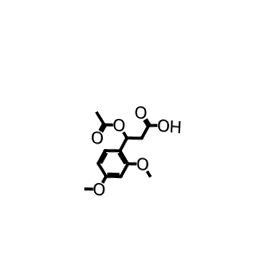 COc1ccc(C(CC(=O)O)OC(C)=O)c(OC)c1